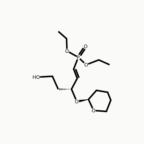 CCOP(=O)(C=C[C@@H](CCO)O[C@H]1CCCCO1)OCC